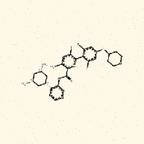 C[C@@H]1C[C@H](N)C[C@H](c2ccncc2NC(=O)c2nc(-c3c(F)cc(OC4CCOCC4)cc3F)c(F)cc2N)C1